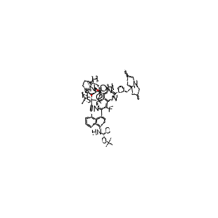 C=C1CN2CC(=C)CC2(COc2nc(N3C[C@H]4CC[C@@H](C3)N4C(=O)O)c3cnc(-c4ccc(NC(=O)OC(C)(C)C)c5cccc(C#C[Si](C(C)C)(C(C)C)C(C)C)c45)c(F)c3n2)C1